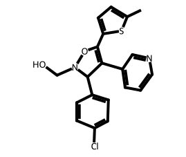 Cc1ccc(C2=C(c3cccnc3)C(c3ccc(Cl)cc3)N(CO)O2)s1